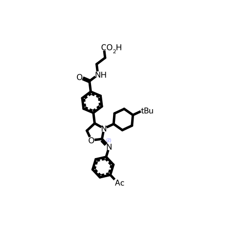 CC(=O)c1cccc(/N=C2\OCC(c3ccc(C(=O)NCCC(=O)O)cc3)N2C2CCC(C(C)(C)C)CC2)c1